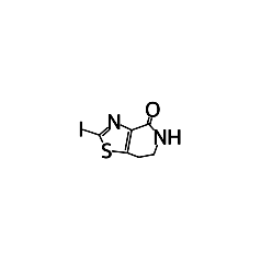 O=C1NCCc2sc(I)nc21